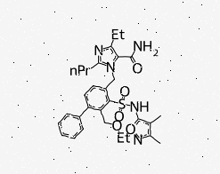 CCCc1nc(CC)c(C(N)=O)n1Cc1ccc(-c2ccccc2)c(COCC)c1S(=O)(=O)Nc1onc(C)c1C